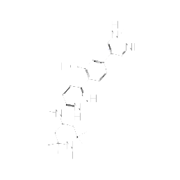 CN(C(=N)/C=C\C(=N)c1ccc(/C(C=N)=C/N)cc1O)C1CC(C)(C)NC(C)(C)C1